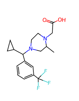 CC1CN(C(c2cccc(C(F)(F)F)c2)C2CC2)CCN1CC(=O)O